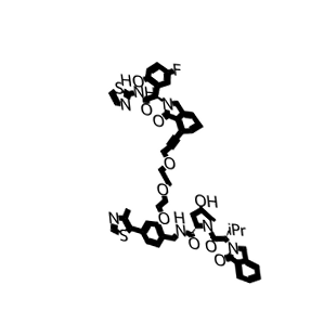 Cc1ncsc1-c1ccc(CNC(=O)[C@@H]2C[C@@H](O)CN2C(=O)[C@H](C(C)C)N2Cc3ccccc3C2=O)c(OCCOCCOCC#Cc2cccc3c2C(=O)N([C@@H](C(=O)Nc2nccs2)c2cc(F)ccc2O)C3)c1